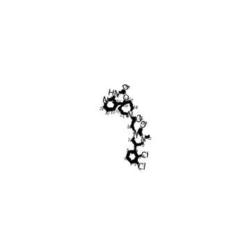 CN1CC(c2cccc(Cl)c2Cl)=CN(CC(=O)N2CCC3(CC2)OC(=O)Nc2ncccc23)C1=O